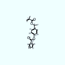 C=C(C)C(=O)OC(C)c1ccc(OC(=O)n2ccnc2)cc1